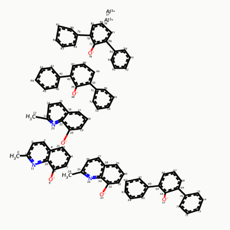 Cc1ccc2cccc([O-])c2n1.Cc1ccc2cccc([O-])c2n1.Cc1ccc2cccc([O-])c2n1.[Al+3].[Al+3].[O-]c1c(-c2ccccc2)cccc1-c1ccccc1.[O-]c1c(-c2ccccc2)cccc1-c1ccccc1.[O-]c1c(-c2ccccc2)cccc1-c1ccccc1